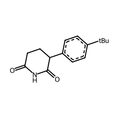 CC(C)(C)c1ccc(C2CCC(=O)NC2=O)cc1